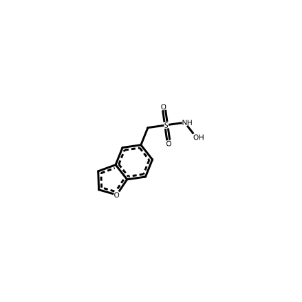 O=S(=O)(Cc1ccc2occc2c1)NO